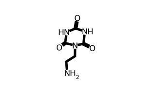 NCCn1c(=O)[nH]c(=O)[nH]c1=O